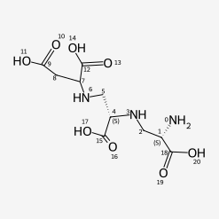 N[C@@H](CN[C@@H](CNC(CC(=O)O)C(=O)O)C(=O)O)C(=O)O